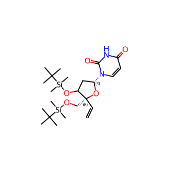 C=C[C@]1(CO[Si](C)(C)C(C)(C)C)O[C@@H](n2ccc(=O)[nH]c2=O)CC1O[Si](C)(C)C(C)(C)C